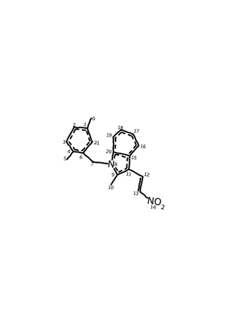 Cc1ccc(C)c(Cn2c(C)c(C=C[N+](=O)[O-])c3ccccc32)c1